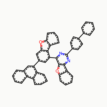 c1ccc(-c2ccc(-c3nc(-c4cc(-c5cc6ccccc6c6ccccc56)cc5oc6ccccc6c45)c4oc5ccccc5c4n3)cc2)cc1